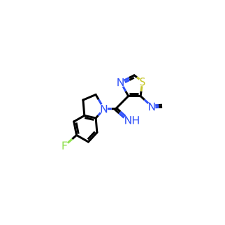 C=Nc1scnc1C(=N)N1CCc2cc(F)ccc21